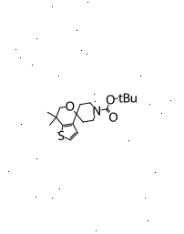 CC(C)(C)OC(=O)N1CCC2(CC1)OCC(C)(C)c1sccc12